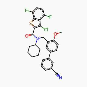 COc1ccc(-c2cccc(C#N)c2)cc1CN(C(=O)c1sc2c(F)ccc(F)c2c1Cl)C1CCCCC1